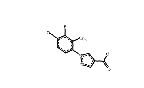 Cc1c(-n2cc(C(=O)Cl)cn2)ccc(Cl)c1F